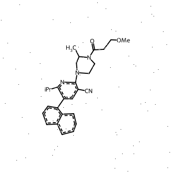 COCCC(=O)N1CCN(c2nc(C(C)C)c(-c3cccc4ccccc34)cc2C#N)CC1C